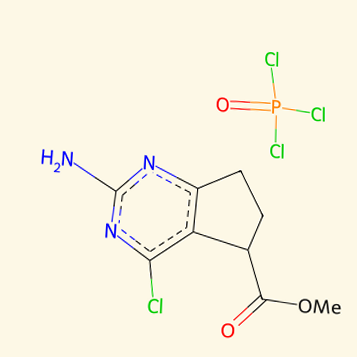 COC(=O)C1CCc2nc(N)nc(Cl)c21.O=P(Cl)(Cl)Cl